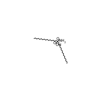 CCCCCCCCCCCCCCCCC(CCCCCCCCCCCCCCCC)(C(N)=O)C(=O)O